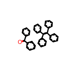 O=C(c1ccccc1)c1ccccc1.c1ccc(C(=C(c2ccccc2)c2ccccc2)c2ccccc2)cc1